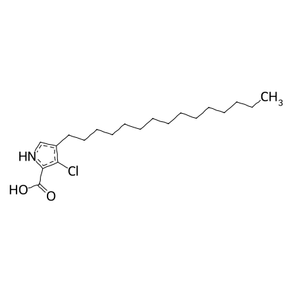 CCCCCCCCCCCCCCCc1c[nH]c(C(=O)O)c1Cl